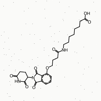 O=C(O)CCCCCCCNC(=O)CCCOc1cccc2c1C(=O)N(C1CCC(=O)NC1=O)C2=O